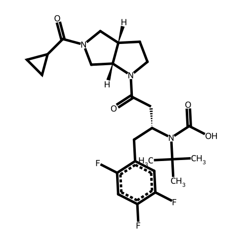 CC(C)(C)N(C(=O)O)[C@@H](CC(=O)N1CC[C@H]2CN(C(=O)C3CC3)C[C@H]21)Cc1cc(F)c(F)cc1F